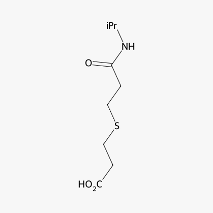 CC(C)NC(=O)CCSCCC(=O)O